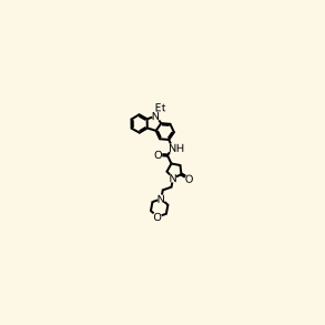 CCn1c2ccccc2c2cc(NC(=O)C3CC(=O)N(CCN4CCOCC4)C3)ccc21